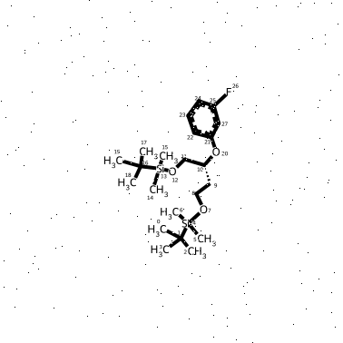 CC(C)(C)[Si](C)(C)OCC[C@H](CO[Si](C)(C)C(C)(C)C)Oc1cccc(F)c1